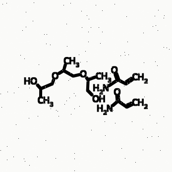 C=CC(N)=O.C=CC(N)=O.CC(O)COC(C)COC(C)CO